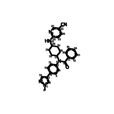 Cn1cc(-c2ccc(N(C(=O)c3ccccc3)C3CCC(Nc4ccc(C#N)cn4)CC3)cc2)cn1